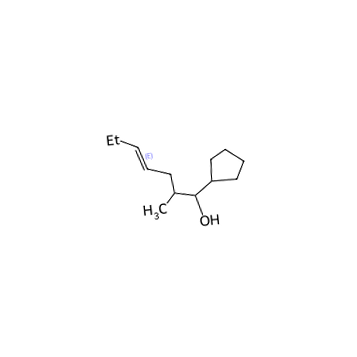 CC/C=C/CC(C)C(O)C1CCCC1